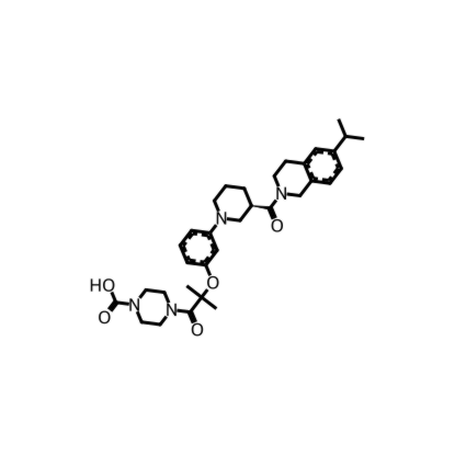 CC(C)c1ccc2c(c1)CCN(C(=O)[C@@H]1CCCN(c3cccc(OC(C)(C)C(=O)N4CCN(C(=O)O)CC4)c3)C1)C2